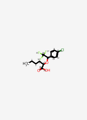 CCCCC(OC(c1ccc(Cl)cc1)C(F)(F)F)C(=O)O